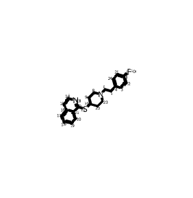 Fc1ccc(CCN2CCC(Sc3nccc4ccccc34)CC2)cc1